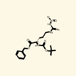 CC(C)(C)OC(=O)N[C@@H](CCCNC(=N)N[N+](=O)[O-])C(=O)OCc1ccccc1